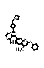 Cc1cc(Nc2ccccc2)nc2cc(-c3nc(C4CC(CN5CCC5)C4)n4ccnc(N)c34)ccc12